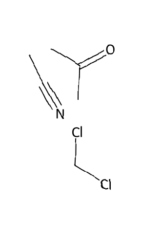 CC#N.CC(C)=O.ClCCl